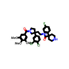 COc1cc(C(=O)N2CCC(CCNC(=O)C3(c4ccc(F)cc4)CCNCC3)(c3ccc(Cl)c(Cl)c3)C2)cc(OC)c1OC